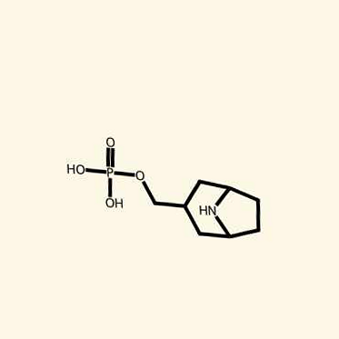 O=P(O)(O)OCC1CC2CCC(C1)N2